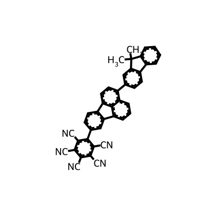 CC1(C)c2ccccc2-c2ccc(-c3ccc4c5c(cccc35)-c3cc(-c5c(C#N)c(C#N)c(C#N)c(C#N)c5C#N)ccc3-4)cc21